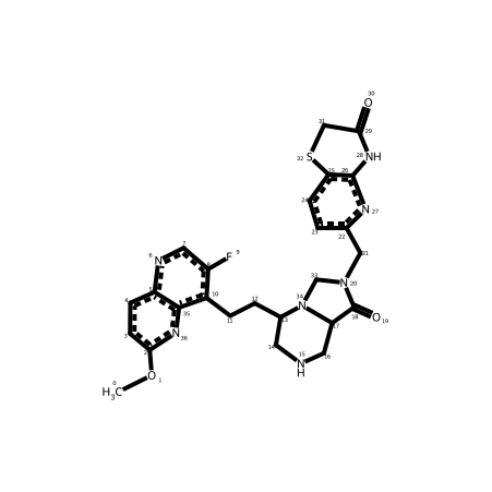 COc1ccc2ncc(F)c(CCC3CNCC4C(=O)N(Cc5ccc6c(n5)NC(=O)CS6)CN34)c2n1